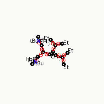 CCc1ccc(COc2cc(COc3ccc(C(C)(c4ccc(OCc5cc(OCc6ccc(CC)cc6)cc(OCc6ccc(CC)cc6)c5)cc4)c4ccc(OCc5cc(OCc6ccc(C(C)ON(C(c7ccccc7)C(C)C)C(C)(C)C)cc6)cc(OCc6ccc(C(C)ON(C(c7ccccc7)C(C)C)C(C)(C)C)cc6)c5)cc4)cc3)cc(OCc3ccc(CC)cc3)c2)cc1